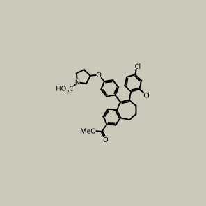 COC(=O)c1ccc2c(c1)CCCC(c1ccc(Cl)cc1Cl)=C2c1ccc(OC2CCN(C(=O)O)C2)cc1